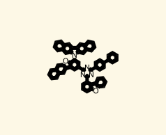 c1ccc(-c2ccc(-c3nc(-c4cc(-n5c6cc7ccccc7cc6c6cc7ccccc7cc65)c5oc6cc7ccccc7cc6c5c4)nc(-c4cccc5oc6ccccc6c45)n3)cc2)cc1